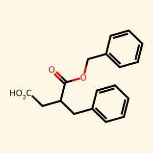 O=C(O)CC(Cc1ccccc1)C(=O)OCc1ccccc1